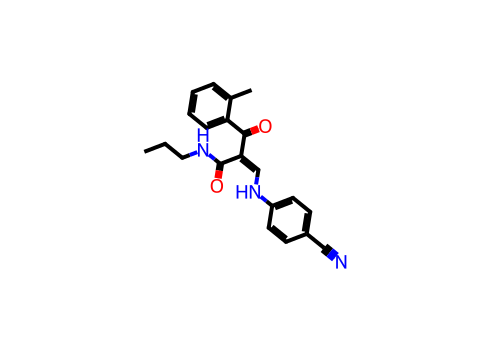 CCCNC(=O)C(=CNc1ccc(C#N)cc1)C(=O)c1ccccc1C